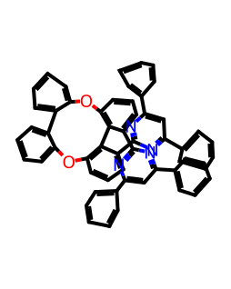 c1ccc(-c2cc(-c3ccccc3)nc(-c3cccc4c3-c3c(cccc3-c3nc(-c5ccccc5)cc(-c5ccccc5)n3)Oc3ccccc3-c3ccccc3O4)n2)cc1